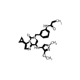 C=CC(=O)Nc1cccc(Cn2cc(Nc3cn(C)nc3OC)c3ncc(C4CC4)n3c2=O)c1